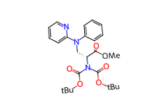 COC(=O)[C@@H](CN(c1ccccc1)c1ccccn1)N(C(=O)OC(C)(C)C)C(=O)OC(C)(C)C